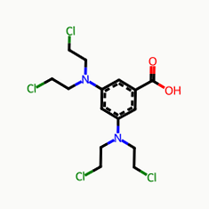 O=C(O)c1cc(N(CCCl)CCCl)cc(N(CCCl)CCCl)c1